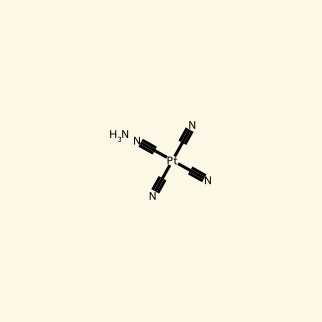 N.N#[C][Pt]([C]#N)([C]#N)[C]#N